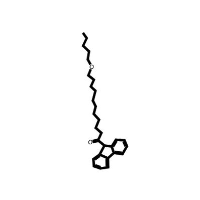 CCCCCOCCCCCCCCCCC(=O)C1c2ccccc2-c2ccccc21